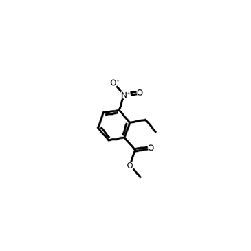 CCc1c(C(=O)OC)cccc1[N+](=O)[O-]